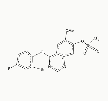 COc1cc2c(Oc3ccc(F)cc3Br)ncnc2cc1OS(=O)(=O)C(F)(F)F